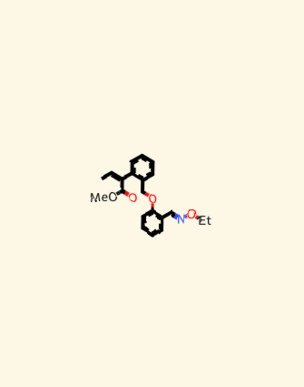 CC=C(C(=O)OC)c1ccccc1COc1ccccc1C=NOCC